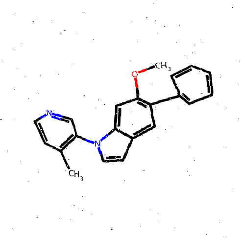 COc1cc2c(ccn2-c2cnccc2C)cc1-c1ccccc1